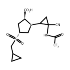 N#CC1(NC(=O)C(F)(F)F)CC1N1C[C@H](S(=O)(=O)CC2CC2)C[C@H]1C(=O)O